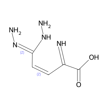 N=C(/C=C\C(=N\N)NN)C(=O)O